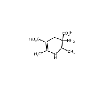 CC1=C(C(=O)O)CC(N)(C(=O)O)C(C)N1